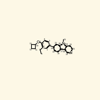 C\C=C(/C=C\C(=C\CC)OC1CCC1)c1ccc2c3cnccc3n(C)c2c1